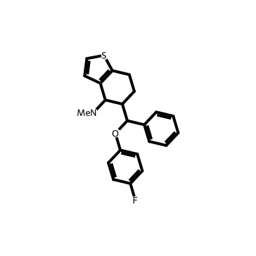 CNC1c2ccsc2CCC1C(Oc1ccc(F)cc1)c1ccccc1